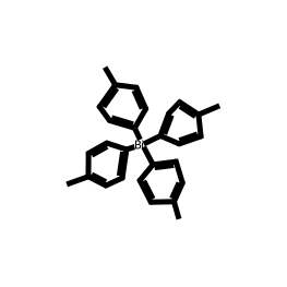 Cc1cc[c]([Bi]([c]2ccc(C)cc2)([c]2ccc(C)cc2)[c]2ccc(C)cc2)cc1